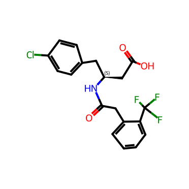 O=C(O)C[C@H](Cc1ccc(Cl)cc1)NC(=O)Cc1ccccc1C(F)(F)F